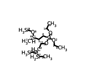 CCO[Si](CC[SiH](C)O[SiH3])(OCC)OCC.C[SiH2]O[SiH3]